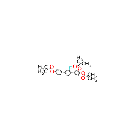 C=C(C)C(=O)Oc1ccc(-c2ccc(-c3ccc(OC(=O)C(=C)C)c(OC(=O)C(=C)C)c3)c(F)c2)cc1